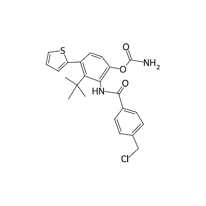 CC(C)(C)c1c(-c2cccs2)ccc(OC(N)=O)c1NC(=O)c1ccc(CCl)cc1